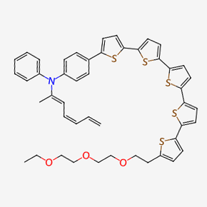 C=C/C=C\C=C(/C)N(c1ccccc1)c1ccc(-c2ccc(-c3ccc(-c4ccc(-c5ccc(-c6ccc(CCOCCOCCOCC)s6)s5)s4)s3)s2)cc1